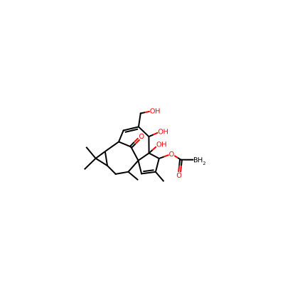 BC(=O)OC1C(C)=CC23C(=O)C(C=C(CO)C(O)C12O)C1C(CC3C)C1(C)C